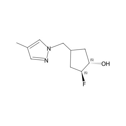 Cc1cnn(CC2C[C@H](O)[C@@H](F)C2)c1